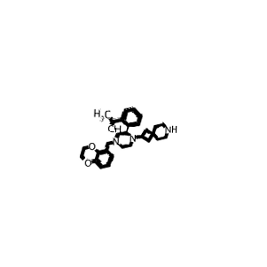 CC(C)c1ccccc1[C@@H]1CN(Cc2cccc3c2OCCO3)CCN1C1CC2(CCNCC2)C1